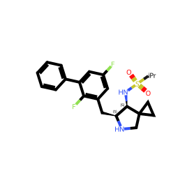 CC(C)S(=O)(=O)N[C@@H]1[C@H](Cc2cc(F)cc(-c3ccccc3)c2F)NCC12CC2